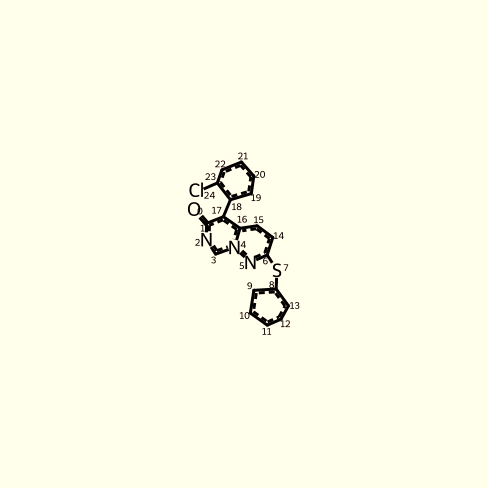 O=c1ncn2nc(Sc3ccccc3)ccc2c1-c1ccccc1Cl